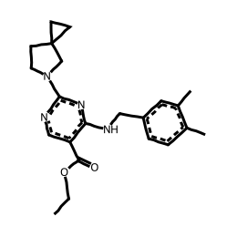 CCOC(=O)c1cnc(N2CCC3(CC3)C2)nc1NCc1ccc(C)c(C)c1